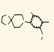 Fc1cc(Cl)c(OC(F)(F)F)cc1N1CCC2(CC1)OCCO2